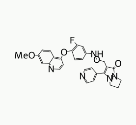 COc1ccc2c(Oc3ccc(NOCc4c(-c5ccncc5)n5n(c4=O)CCC5)cc3F)ccnc2c1